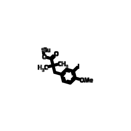 COc1ccc(CC(C)(C)C(=O)OC(C)(C)C)cc1I